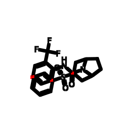 O=C(Nc1ccccc1C(F)(F)F)N1C2CCC1CC(S(=O)(=O)c1ccccc1)C2